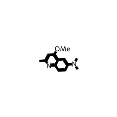 COc1cc(C)nc2ccc(N(C)C)cc12